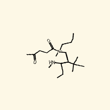 CCC[N+](C)(CC(C(CC)NC)C(C)(C)C)C(=O)CCC(C)=O